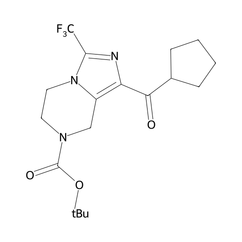 CC(C)(C)OC(=O)N1CCn2c(C(F)(F)F)nc(C(=O)C3CCCC3)c2C1